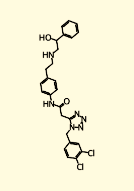 O=C(Cc1nnnn1Cc1ccc(Cl)c(Cl)c1)Nc1ccc(CCNCC(O)c2ccccc2)cc1